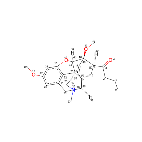 CCCC(=O)[C@H]1C[C@@]23C=C[C@]1(OC)[C@@H]1Oc4cc(OC)cc5c4[C@@]12CCN(C)[C@@H]3C5